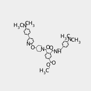 CCOC(=O)c1ccc(C(=O)N2CCC(Oc3ccc(-c4ccc(N(C)C)cc4)cn3)CC2)c(C(=O)NCCc2ccc(N(C)C)cc2)c1